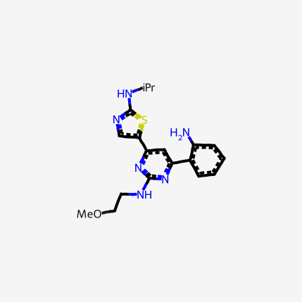 COCCNc1nc(-c2cnc(NC(C)C)s2)cc(-c2ccccc2N)n1